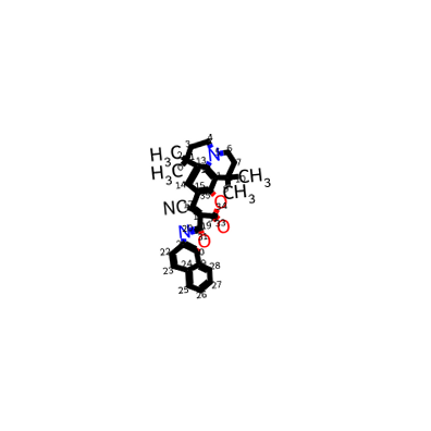 CC1(C)CCN2CCC(C)(C)c3c2c1cc1c(C#N)c(-c2nc4ccc5ccccc5c4o2)c(=O)oc31